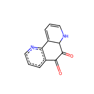 O=C1C(=O)C2NC=CC=C2c2ncccc21